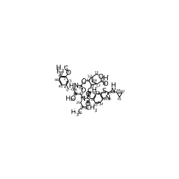 COc1cc(C[C@H](NC(=O)OC2C3COC(O)C(C3)C2C)[C@H](O)CN(CC(C)C)S(=O)(=O)c2ccc3nc(NC4CC4)sc3c2)ccc1F